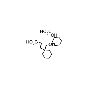 C1CCCCC1.O=C(O)O.O=C(O)OCC1(CO)CCCCC1